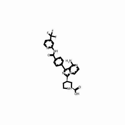 Nc1nccn2c([C@@H]3CCN[C@H](C(=O)O)C3)nc(-c3ccc(C(=O)Nc4cc(C(F)(F)F)ccn4)cc3)c12